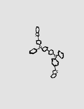 c1ccc(N(c2ccc(-c3ccc(N(c4ccccc4)c4ccc(C5Cc6ccccc6S5)cc4)cc3)cc2)c2ccc(-c3cc4ccccc4s3)cc2)cc#1